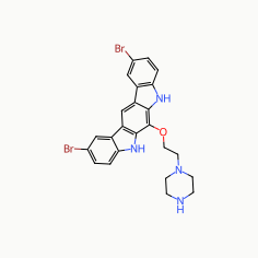 Brc1ccc2[nH]c3c(OCCN4CCNCC4)c4[nH]c5ccc(Br)cc5c4cc3c2c1